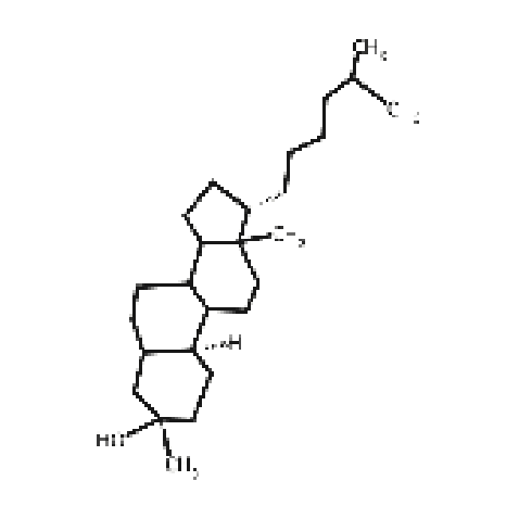 CC(C)CCCC[C@H]1CCC2C3CCC4C[C@@](C)(O)CC[C@@H]4C3CCC21C